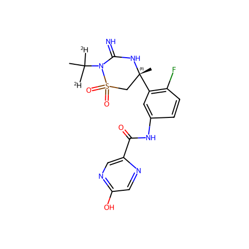 [2H]C([2H])(C)N1C(=N)N[C@](C)(c2cc(NC(=O)c3cnc(O)cn3)ccc2F)CS1(=O)=O